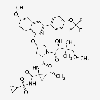 C=C[C@@H]1C[C@]1(NC(=O)[C@@H]1C[C@@H](Oc2nc(-c3ccc(OC(F)(F)F)cc3)cc3cc(OC)ccc23)CN1C(=O)[C@@H](O)C(C)(C)COC)C(=O)NS(=O)(=O)C1CC1